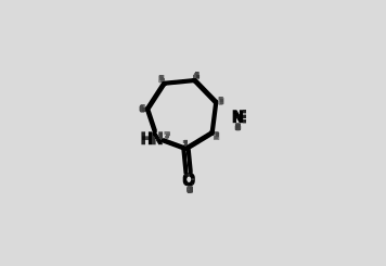 O=C1CCCCCN1.[N]